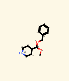 COC(OCc1ccccc1)C1CCNCC1